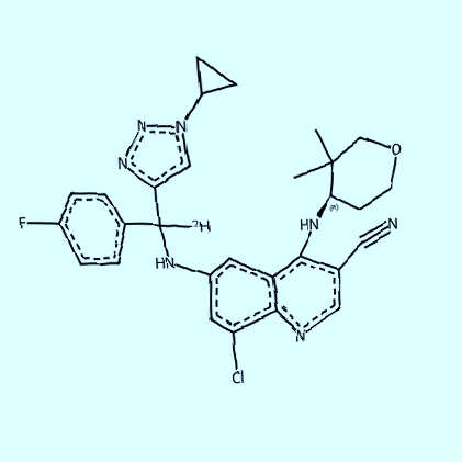 [2H]C(Nc1cc(Cl)c2ncc(C#N)c(N[C@@H]3CCOCC3(C)C)c2c1)(c1ccc(F)cc1)c1cn(C2CC2)nn1